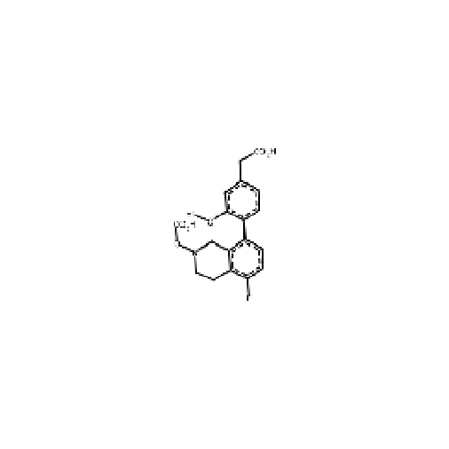 CCOc1cc(CC(=O)O)ccc1-c1ccc(F)c2c1CN(OC(=O)O)CC2